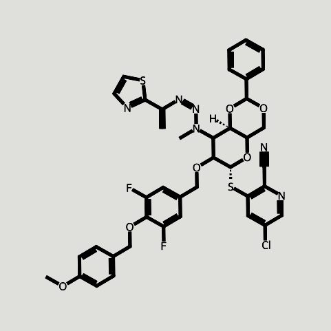 C=C(/N=N\N(C)C1C(OCc2cc(F)c(OCc3ccc(OC)cc3)c(F)c2)[C@@H](Sc2cc(Cl)cnc2C#N)OC2COC(c3ccccc3)O[C@@H]21)c1nccs1